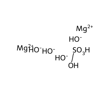 O=S(=O)(O)O.[Mg+2].[Mg+2].[OH-].[OH-].[OH-].[OH-]